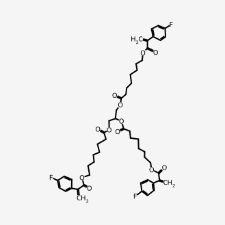 C=C(C(=O)OCCCCCCCC(=O)OCC(COC(=O)CCCCCCCOC(=O)C(=C)c1ccc(F)cc1)OC(=O)CCCCCCCOC(=O)C(=C)c1ccc(F)cc1)c1ccc(F)cc1